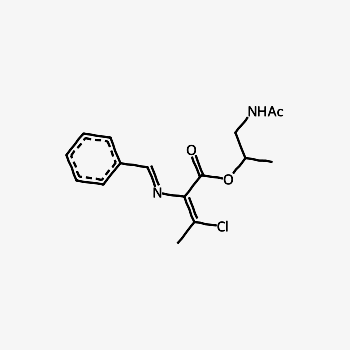 CC(=O)NCC(C)OC(=O)/C(N=Cc1ccccc1)=C(/C)Cl